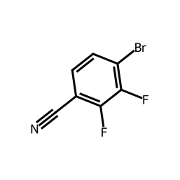 N#Cc1ccc(Br)c(F)c1F